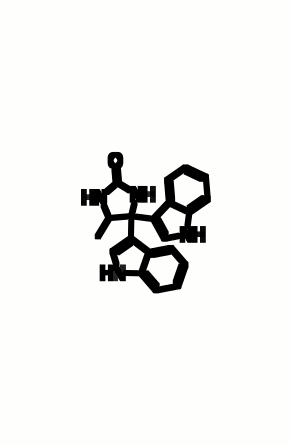 CC1NC(=O)NC1(c1c[nH]c2ccccc12)c1c[nH]c2ccccc12